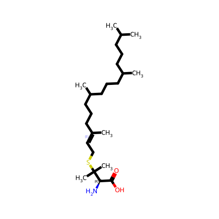 C/C(=C\CSC(C)(C)[C@H](N)C(=O)O)CCCC(C)CCCC(C)CCCC(C)C